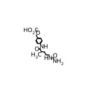 C[C@@H](CCCNC(N)=O)C(=O)Nc1ccc(COC(=O)O)cc1